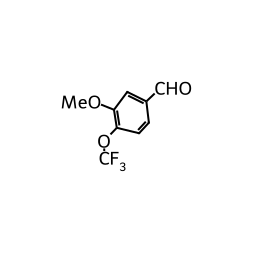 COc1cc(C=O)ccc1OC(F)(F)F